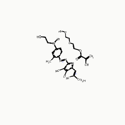 C=C(C#N)C(=O)OCCOCCOCCCC.Cc1cc(N(CCO)C(C)C)ccc1/N=N/c1sc(/C=C(\C#N)C(=O)O)c(Cl)c1C#N